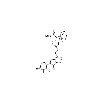 COC(=O)C(c1nc(CSc2cccc3c2CN(C2CCC(=O)NC2=O)C3=O)cs1)C12CC3CC(CC(C3)C1)C2